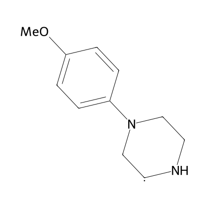 COc1ccc(N2C[CH]NCC2)cc1